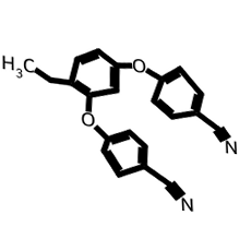 CCc1ccc(Oc2ccc(C#N)cc2)cc1Oc1ccc(C#N)cc1